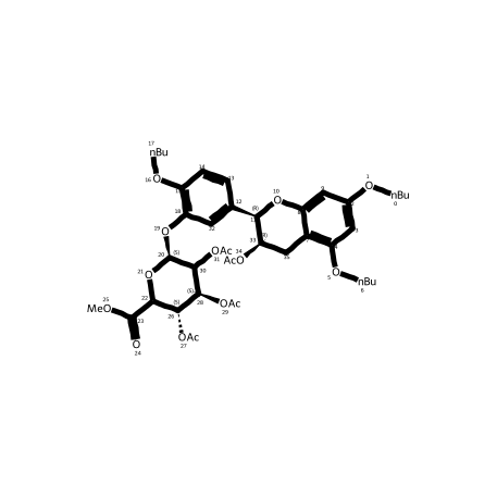 CCCCOc1cc(OCCCC)c2c(c1)O[C@H](c1ccc(OCCCC)c(O[C@@H]3OC(C(=O)OC)[C@@H](OC(C)=O)[C@H](OC(C)=O)C3OC(C)=O)c1)[C@H](OC(C)=O)C2